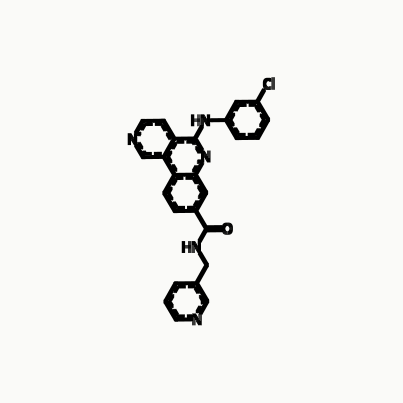 O=C(NCc1cccnc1)c1ccc2c(c1)nc(Nc1cccc(Cl)c1)c1ccncc12